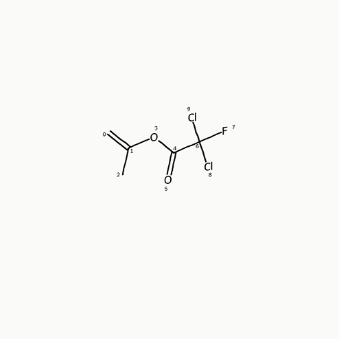 C=C(C)OC(=O)C(F)(Cl)Cl